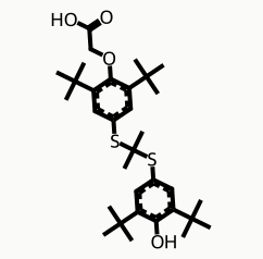 CC(C)(Sc1cc(C(C)(C)C)c(O)c(C(C)(C)C)c1)Sc1cc(C(C)(C)C)c(OCC(=O)O)c(C(C)(C)C)c1